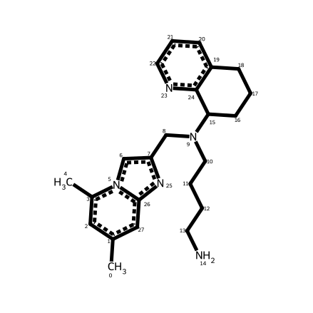 Cc1cc(C)n2cc(CN(CCCCN)C3CCCc4cccnc43)nc2c1